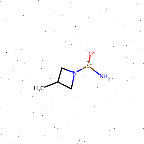 CC1CN([S+](N)[O-])C1